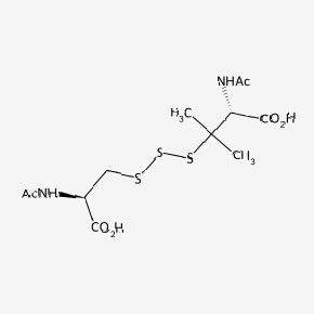 CC(=O)N[C@@H](CSSSC(C)(C)[C@H](NC(C)=O)C(=O)O)C(=O)O